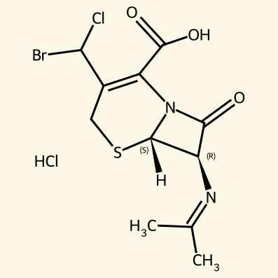 CC(C)=N[C@@H]1C(=O)N2C(C(=O)O)=C(C(Cl)Br)CS[C@@H]12.Cl